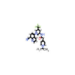 CC(C)N1CCC(CC(=O)N[C@@H]2CC(C(F)(F)F)CN(c3ccc(C#N)c4ncccc34)C2)CC1